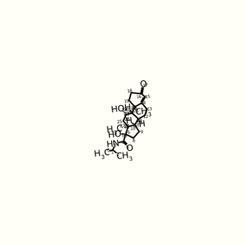 CC(C)NC(=O)[C@@]1(O)CC[C@H]2[C@@H]3CCC4=CC(=O)CC[C@]4(C)[C@H]3[C@@H](O)C[C@@]21C